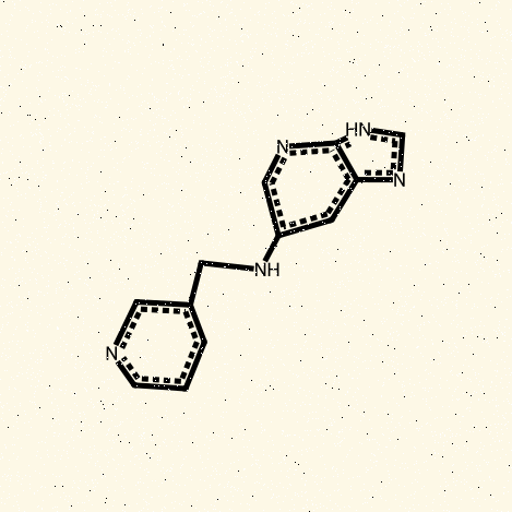 c1cncc(CNc2cnc3[nH]cnc3c2)c1